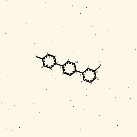 Cc1ccc(-c2ccc(-c3cccc(C)c3)cc2)cc1